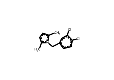 Cc1ccc(C)n1Cc1ccc(Cl)c(Cl)c1